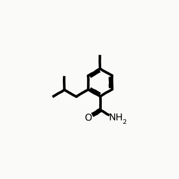 Cc1ccc(C(N)=O)c(CC(C)C)c1